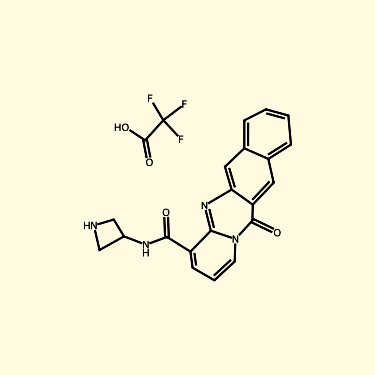 O=C(NC1CNC1)c1cccn2c(=O)c3cc4ccccc4cc3nc12.O=C(O)C(F)(F)F